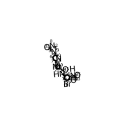 CN1CCN(c2ccc(-n3cc(C(=O)Nc4cc(Br)cc(NS(C)(=O)=O)c4)cn3)nc2)CC1=O